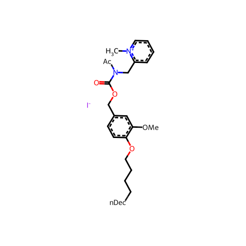 CCCCCCCCCCCCCCOc1ccc(COC(=O)N(Cc2cccc[n+]2C)C(C)=O)cc1OC.[I-]